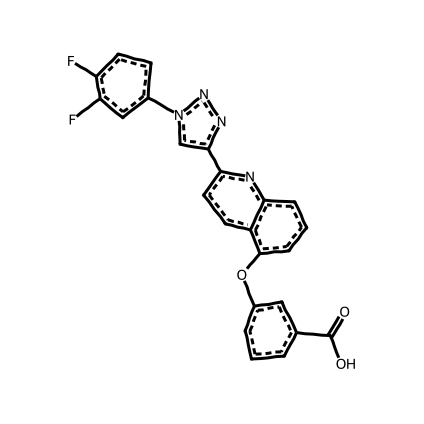 O=C(O)c1cccc(Oc2cccc3nc(-c4cn(-c5ccc(F)c(F)c5)nn4)ccc23)c1